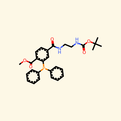 COC(=O)c1ccc(C(=O)NCCNC(=O)OC(C)(C)C)cc1P(c1ccccc1)c1ccccc1